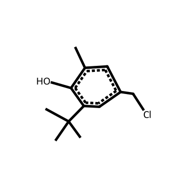 Cc1cc(CCl)cc(C(C)(C)C)c1O